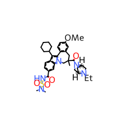 CCN1C[C@H]2C[C@@H]1CN2C(=O)C1(C)Cc2cc(OC)ccc2-c2c(C3CCCCC3)c3ccc(C(=O)NS(=O)(=O)N(C)C)cc3n2C1